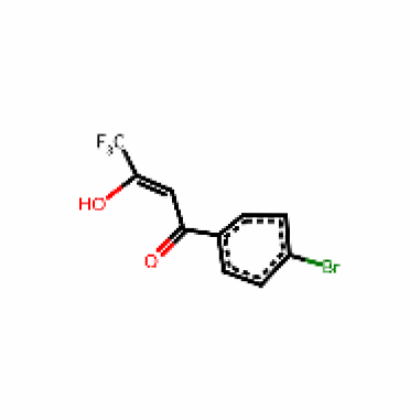 O=C(/C=C(\O)C(F)(F)F)c1ccc(Br)cc1